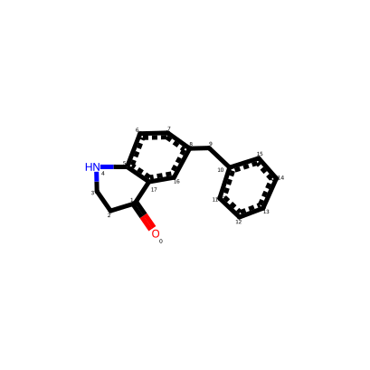 O=C1CCNc2ccc(Cc3ccccc3)cc21